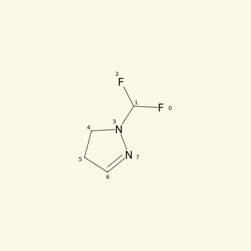 FC(F)N1CCC=N1